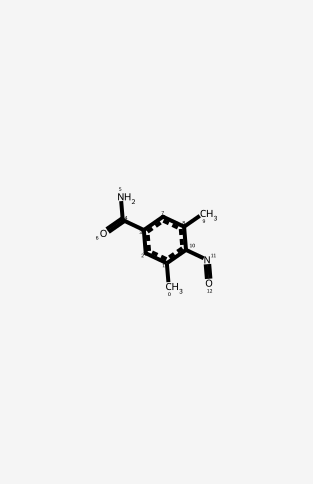 Cc1cc(C(N)=O)cc(C)c1N=O